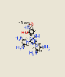 CCCCCCCCCC(=O)Nc1ccc(Nc2nc(N3C[C@H](N)C[C@H](N)C3)nc(N3C[C@H](N)C[C@H](N)C3)n2)cc1O